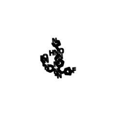 O=C(Nc1cn2nc(-c3c(-c4ccc(F)cc4)ncn3C3CCN(Cc4ccon4)CC3)ccc2n1)c1ccncc1